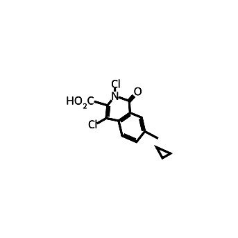 C1CC1.Cc1ccc2c(Cl)c(C(=O)O)n(Cl)c(=O)c2c1